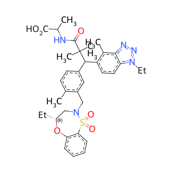 CC[C@@H]1CN(Cc2cc(C(c3ccc4c(nnn4CC)c3C)C(C)(C)C(=O)NC(C)C(=O)O)ccc2C)S(=O)(=O)c2ccccc2O1